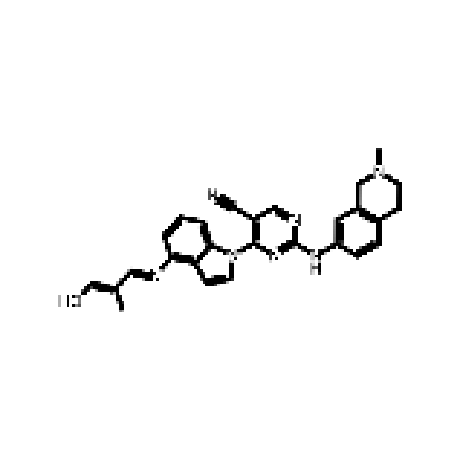 CC(/C=N/c1cccc2c1ccn2-c1nc(Nc2ccc3c(c2)CN(C)CC3)ncc1C#N)=C\O